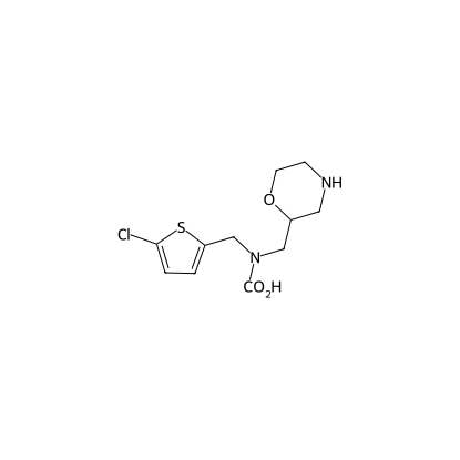 O=C(O)N(Cc1ccc(Cl)s1)CC1CNCCO1